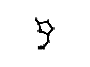 CCCCCC1CCC(C)O1